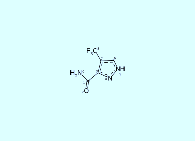 NC(=O)c1n[nH]cc1C(F)(F)F